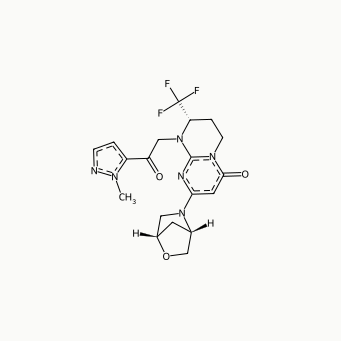 Cn1nccc1C(=O)CN1c2nc(N3C[C@@H]4C[C@H]3CO4)cc(=O)n2CC[C@H]1C(F)(F)F